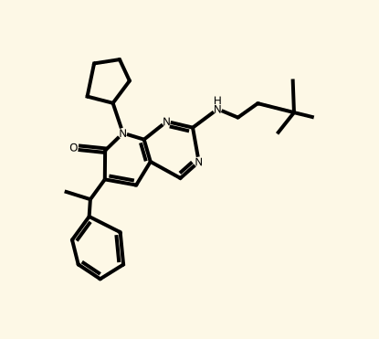 CC(c1ccccc1)c1cc2cnc(NCCC(C)(C)C)nc2n(C2CCCC2)c1=O